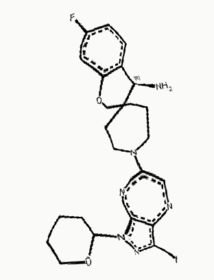 N[C@@H]1c2ccc(F)cc2OC12CCN(c1cnc3c(I)nn(C4CCCCO4)c3n1)CC2